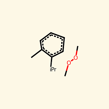 COOC.Cc1ccccc1C(C)C